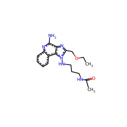 CCOCc1nc2c(N)nc3ccccc3c2n1NCCCNC(C)=O